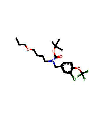 CCCOCCCCN(Cc1ccc(OC(F)(F)F)c(Cl)c1)C(=O)OC(C)(C)C